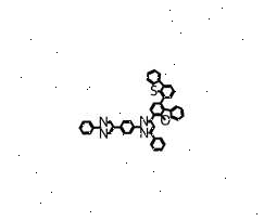 c1ccc(-c2cc(-c3ccc(-c4cccc5c4sc4ccccc45)c4c3oc3ccccc34)nc(-c3ccc(-c4cnc(-c5ccccc5)nc4)cc3)n2)cc1